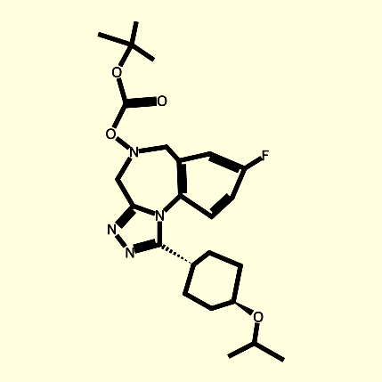 CC(C)O[C@H]1CC[C@H](c2nnc3n2-c2ccc(F)cc2CN(OC(=O)OC(C)(C)C)C3)CC1